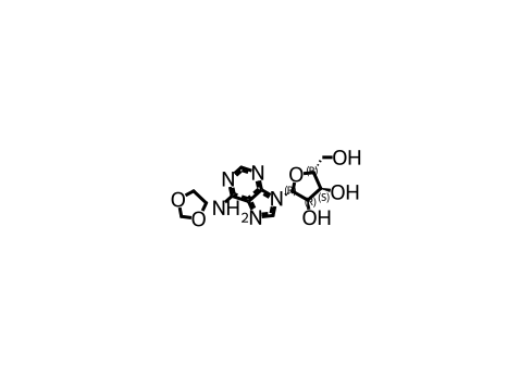 C1COCO1.Nc1ncnc2c1ncn2[C@@H]1O[C@H](CO)[C@@H](O)[C@H]1O